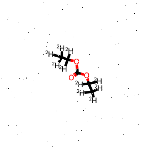 [2H]C([2H])([2H])C([2H])([2H])OC(=O)OC([2H])([2H])C([2H])([2H])[2H]